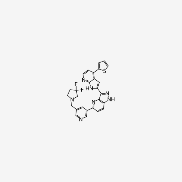 FC1(F)CCN(Cc2cncc(-c3ccc4[nH]nc(-c5cc6c(-c7cccs7)ccnc6[nH]5)c4n3)c2)C1